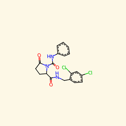 O=C(NCc1ccc(Cl)cc1Cl)C1CCC(=O)N1C(=O)Nc1ccccc1